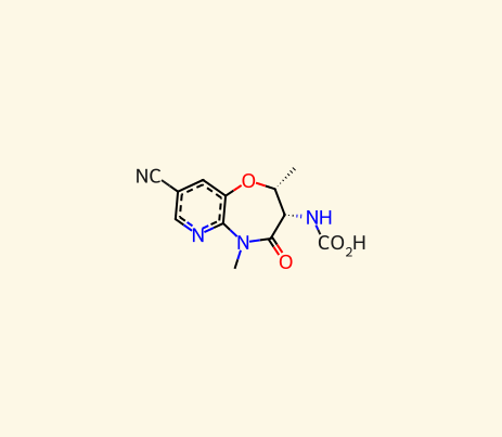 C[C@H]1Oc2cc(C#N)cnc2N(C)C(=O)[C@H]1NC(=O)O